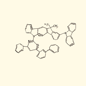 CC1(C)c2cc(-n3c4ccccc4c4ccccc43)ccc2-c2cc3c(cc21)c1ccccc1n3-c1nc(-c2ccccc2)cc(-c2cccc(-c3ccccc3)c2)n1